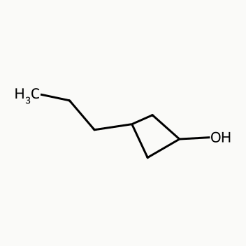 CCCC1CC(O)C1